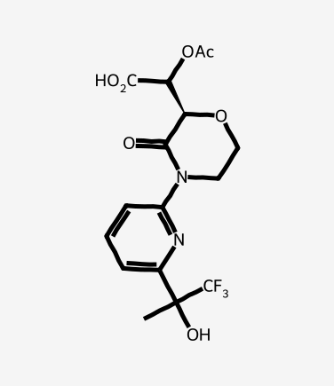 CC(=O)OC(C(=O)O)[C@H]1OCCN(c2cccc(C(C)(O)C(F)(F)F)n2)C1=O